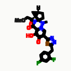 COCC(=O)[C@]12C[C@H]1CCC21N(C)C(=O)c2c(O)c(=O)c(-c3nnc(Cc4ccc(F)cc4F)s3)cn2N1C